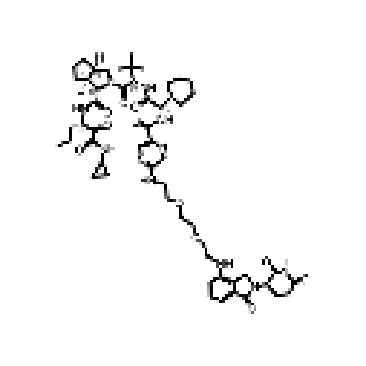 CCC[C@H](NC(=O)[C@@H]1[C@H]2CCC[C@H]2CN1C(=O)[C@@H](NC(=O)[C@@H](NC(=O)c1cnc(NCCOCCOCCNc2cccc3c2CN(C2CCC(=O)NC2=O)C3=O)cn1)C1CCCCC1)C(C)(C)C)C(=O)C(=O)NC1CC1